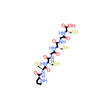 O=C(CNC(=O)[C@H](CS)NC(=O)CNC(=O)[C@H](CS)NC(=O)[C@H](CS)NC(=O)[C@@H]1CCCN1)N[C@@H](CS)C(=O)O